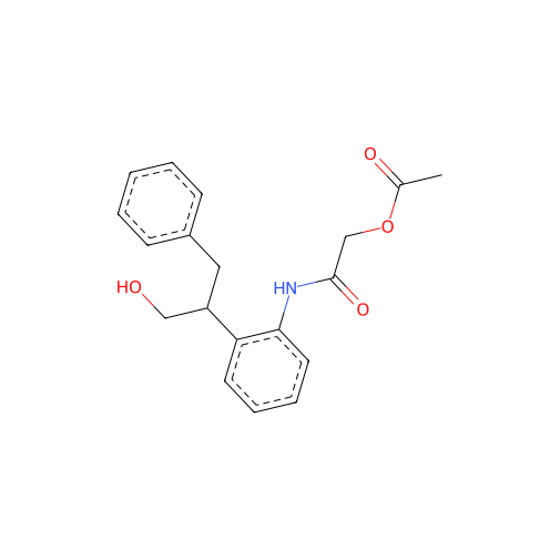 CC(=O)OCC(=O)Nc1ccccc1C(CO)Cc1ccccc1